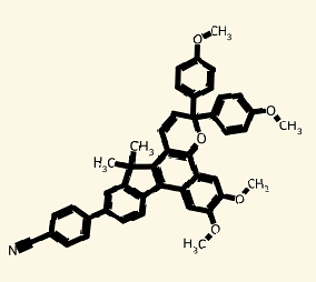 COc1ccc(C2(c3ccc(OC)cc3)C=Cc3c4c(c5cc(OC)c(OC)cc5c3O2)-c2ccc(-c3ccc(C#N)cc3)cc2C4(C)C)cc1